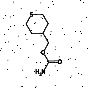 NC(=O)OCC1CCSCC1